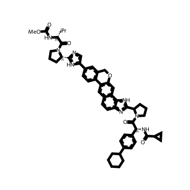 COC(=O)N[C@@H](C(=O)N1CCC[C@H]1c1ncc(-c2ccc3c(c2)COc2cc4c(ccc5nc(C6CCCN6C(=O)[C@H](NC(=O)C6CC6)c6ccc(C7CCCCC7)cc6)[nH]c54)cc2-3)[nH]1)C(C)C